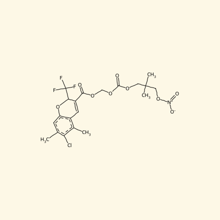 Cc1cc2c(c(C)c1Cl)C=C(C(=O)OCOC(=O)OCC(C)(C)CO[N+](=O)[O-])C(C(F)(F)F)O2